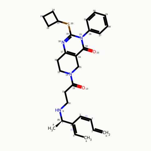 C=C/C=C\C(=C/C)[C@@H](C)NCCC(=O)N1CCc2nc(SC3CCC3)n(-c3ccccc3)c(=O)c2C1